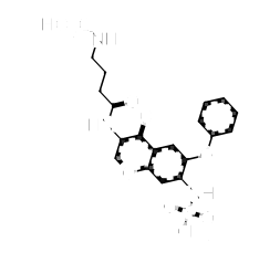 CS(=O)(=O)Nc1cc2occ(NC(=O)CCCNC(=O)O)c(=O)c2cc1Oc1ccccc1